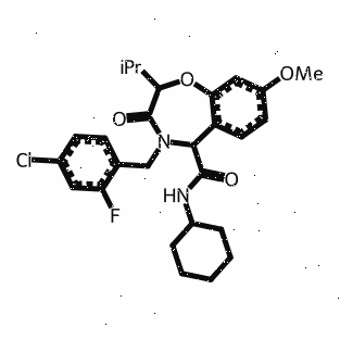 COc1ccc2c(c1)OC(C(C)C)C(=O)N(Cc1ccc(Cl)cc1F)C2C(=O)NC1CCCCC1